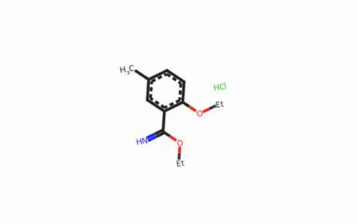 CCOC(=N)c1cc(C)ccc1OCC.Cl